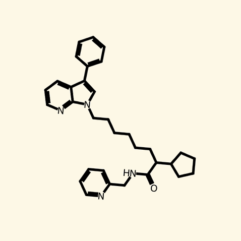 O=C(NCc1ccccn1)C(CCCCCCn1cc(-c2ccccc2)c2cccnc21)C1CCCC1